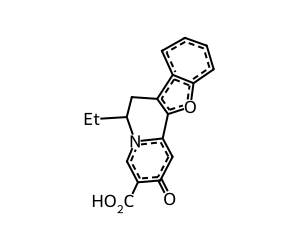 CCC1Cc2c(oc3ccccc23)-c2cc(=O)c(C(=O)O)cn21